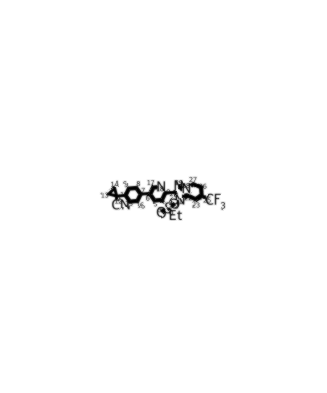 CCS(=O)(=O)c1cc(-c2ccc(C3(C#N)CC3)cc2)cnc1-c1nc2cc(C(F)(F)F)ccn2n1